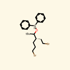 CC(C)(C)C(O[SiH](c1ccccc1)c1ccccc1)[C@H](CCBr)CCCBr